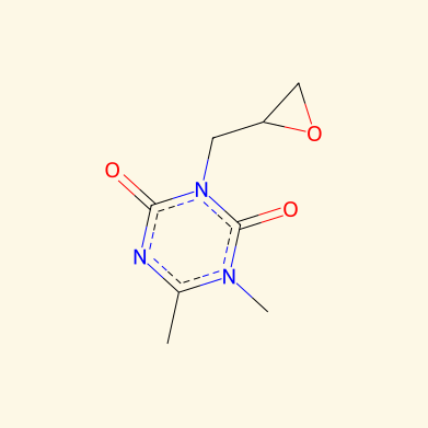 Cc1nc(=O)n(CC2CO2)c(=O)n1C